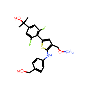 CC(C)(O)c1cc(F)c(-c2cc(CON)c(Nc3ccc(CO)cc3)s2)c(F)c1